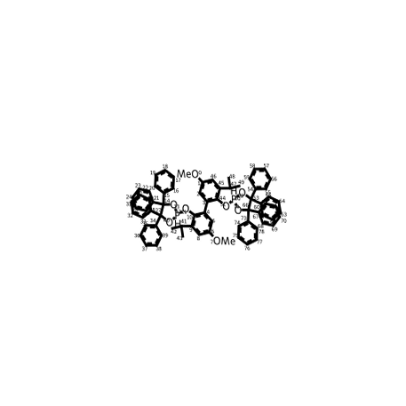 COc1cc(-c2cc(OC)cc3c2O[PH]2(OC(c4ccccc4)(c4ccccc4)C(c4ccccc4)(c4ccccc4)O2)C3(C)C)c2c(c1)C(C)(C)[PH]1(O2)OC(c2ccccc2)(c2ccccc2)C(c2ccccc2)(c2ccccc2)O1